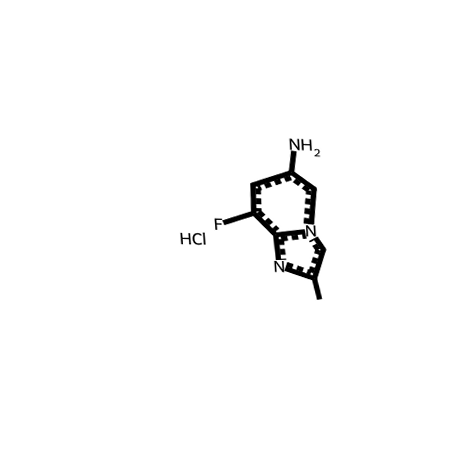 Cc1cn2cc(N)cc(F)c2n1.Cl